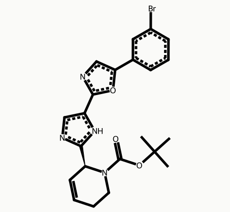 CC(C)(C)OC(=O)N1CCC=C[C@H]1c1ncc(-c2ncc(-c3cccc(Br)c3)o2)[nH]1